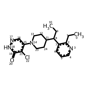 CCc1ncccc1C(CC)C1CCN(c2cn[nH]c(=O)c2Cl)CC1